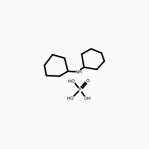 C1CCC(NC2CCCCC2)CC1.O=P(O)(O)O